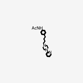 CC(=O)Nc1ccc(CCCCN2CCN(c3ccccn3)CC2)cc1